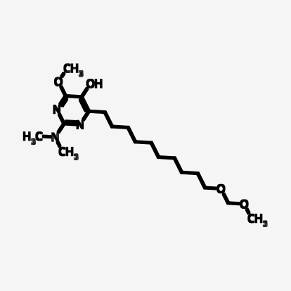 COCOCCCCCCCCCCc1nc(N(C)C)nc(OC)c1O